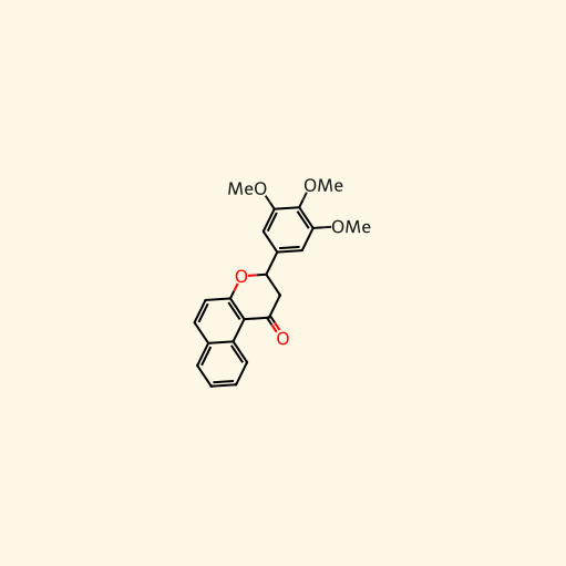 COc1cc(C2CC(=O)c3c(ccc4ccccc34)O2)cc(OC)c1OC